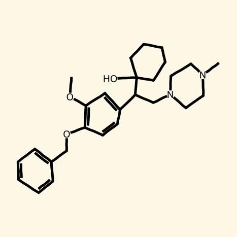 COc1cc(C(CN2CCN(C)CC2)C2(O)CCCCC2)ccc1OCc1ccccc1